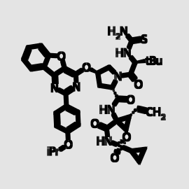 C=C[C@@H]1CC1(NC(=O)[C@@H]1C[C@@H](Oc2nc(-c3ccc(OC(C)C)cc3)nc3c2oc2ccccc23)CN1C(=O)[C@@H](NC(N)=S)C(C)(C)C)C(=O)NS(=O)(=O)C1CC1